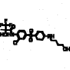 CC(O)(C(=O)Nc1ccc(S(=O)(=O)c2ccc(NCCCCO)cc2)cc1Cl)C(F)(F)F